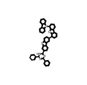 C1=CC(C2N=C(c3ccccc3)N=C(c3ccc4c(c3)sc3ccc(-c5cccc6c5oc5c(-n7c8ccccc8c8ccccc87)cccc56)cc34)N2)=CCC1